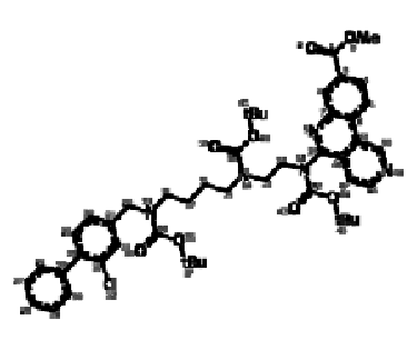 COC(=O)c1ccc2c(c1)nc(N(CCN(CCCCN(Cc1ccc(-c3ccccc3)c(Cl)c1)C(=O)OC(C)(C)C)C(=O)OC(C)(C)C)C(=O)OC(C)(C)C)c1ccncc12